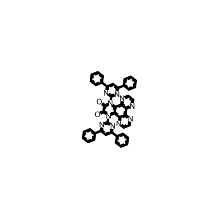 O=c1c(=O)n(-c2nc(-c3ccccc3)cc(-c3ccccc3)n2)c2c3nccnc3c3nccnc3c2n1-c1nc(-c2ccccc2)cc(-c2ccccc2)n1